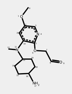 COc1cnc(OCC=O)c(N(C)C2CCC(N)CC2)c1